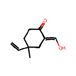 C=CC1(C)CCC(=O)C(=CO)C1